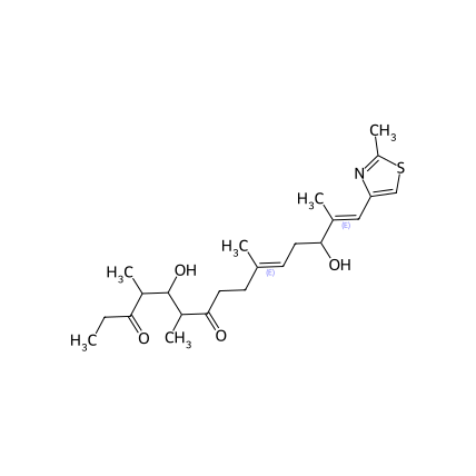 CCC(=O)C(C)C(O)C(C)C(=O)CC/C(C)=C/CC(O)/C(C)=C/c1csc(C)n1